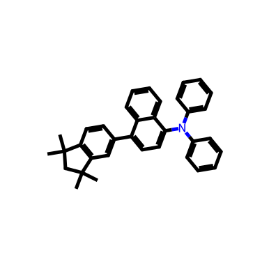 CC1(C)CC(C)(C)c2cc(-c3ccc(N(c4ccccc4)c4ccccc4)c4ccccc34)ccc21